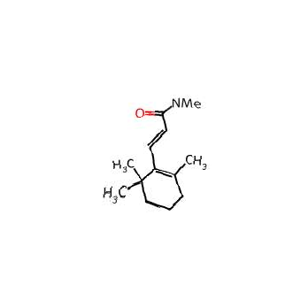 CNC(=O)C=CC1=C(C)CCCC1(C)C